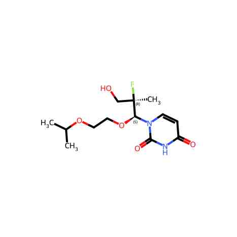 CC(C)OCCO[C@H](n1ccc(=O)[nH]c1=O)[C@](C)(F)CO